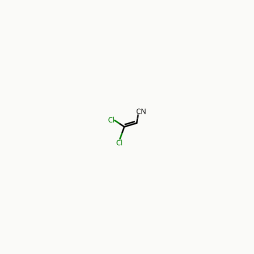 N#CC=C(Cl)Cl